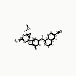 COC[C@]12C[C@H]1[C@]1(Cc3c(F)cc(Nc4nccc5cc(C#N)cnc45)cc31)N=C(N)S2